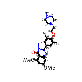 COc1cc(OC)c2c(=O)[nH]c(-c3cc(C)c(OCCN4CCN(C)CC4)c(C)c3)nc2c1